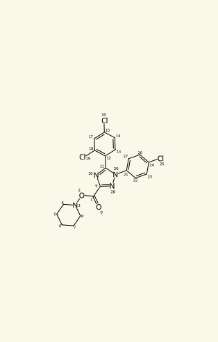 O=C(ON1CCCCC1)c1nc(-c2ccc(Cl)cc2Cl)n(-c2ccc(Cl)cc2)n1